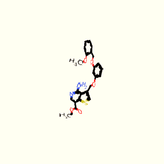 CCOC(=O)c1cnc(N)c2c(COc3cccc(OCc4ccccc4OC)c3)csc12